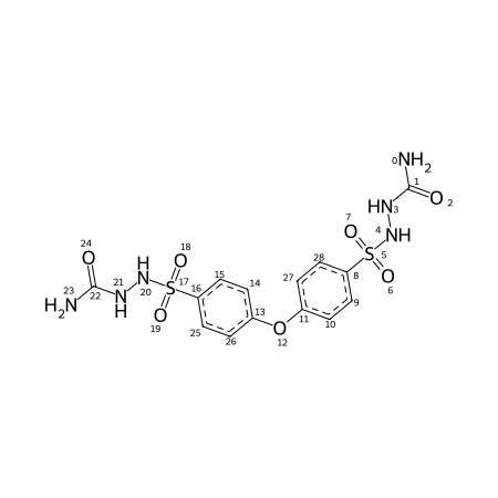 NC(=O)NNS(=O)(=O)c1ccc(Oc2ccc(S(=O)(=O)NNC(N)=O)cc2)cc1